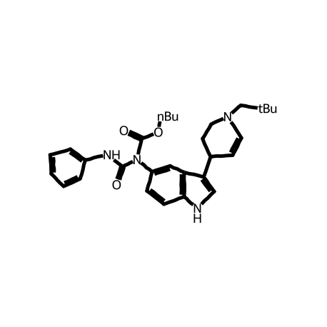 CCCCOC(=O)N(C(=O)Nc1ccccc1)c1ccc2[nH]cc(C3C=CN(CC(C)(C)C)CC3)c2c1